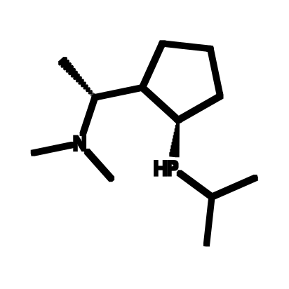 CC(C)P[C@H]1CCCC1[C@@H](C)N(C)C